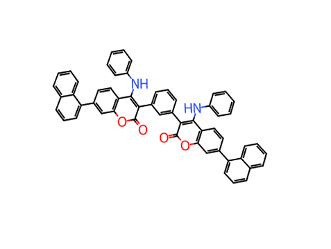 O=c1oc2cc(-c3cccc4ccccc34)ccc2c(Nc2ccccc2)c1-c1cccc(-c2c(Nc3ccccc3)c3ccc(-c4cccc5ccccc45)cc3oc2=O)c1